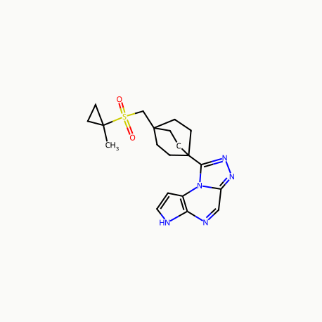 CC1(S(=O)(=O)CC23CCC(c4nnc5cnc6[nH]ccc6n45)(CC2)CC3)CC1